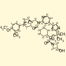 COc1ccc(C23CCC(CN(c4cc(-c5cnc(C(C)(C)C)s5)ccn4)C(=O)[C@H]4CC[C@H](OC(=O)N5CC(O)C5)CC4)(CC2)CC3)cc1C